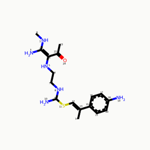 CN/C(N)=C(/NCCNC(N)S/C=C(\C)c1ccc(N)cc1)C(C)=O